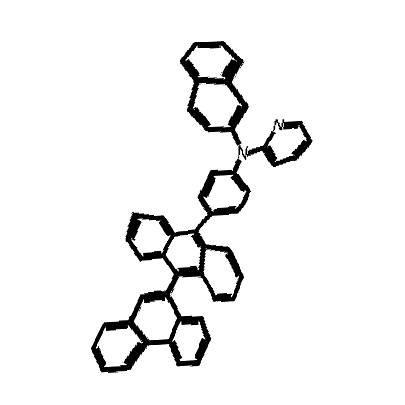 c1ccc(N(c2ccc(-c3c4ccccc4c(-c4cc5ccccc5c5ccccc45)c4ccccc34)cc2)c2ccc3ccccc3c2)nc1